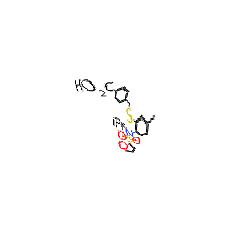 Cc1ccc(N(C(C)C)S(=O)(=O)c2ccco2)c(SCc2ccc(C(=O)O)cc2)c1